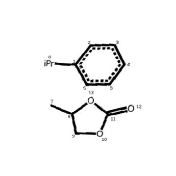 CC(C)c1ccccc1.CC1COC(=O)O1